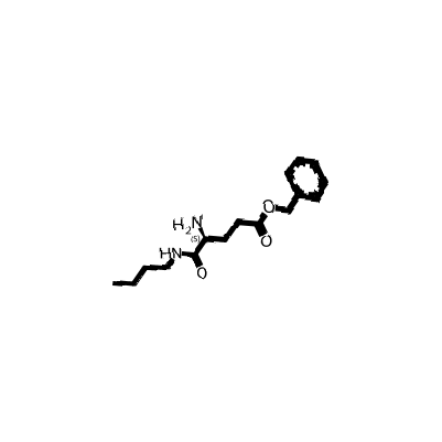 CCCCNC(=O)[C@@H](N)CCC(=O)OCc1ccccc1